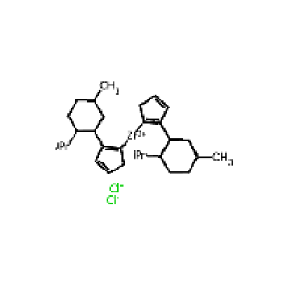 CC1CCC(C(C)C)C(C2=[C]([Zr+2][C]3=C(C4CC(C)CCC4C(C)C)C=CC3)CC=C2)C1.[Cl-].[Cl-]